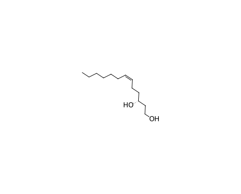 CCCCCC/C=C\CC[C@@H](O)CCO